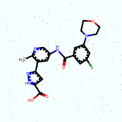 Cc1ncc(NC(=O)c2cc(F)cc(N3CCOCC3)c2)cc1-c1cc(C(=O)O)[nH]n1